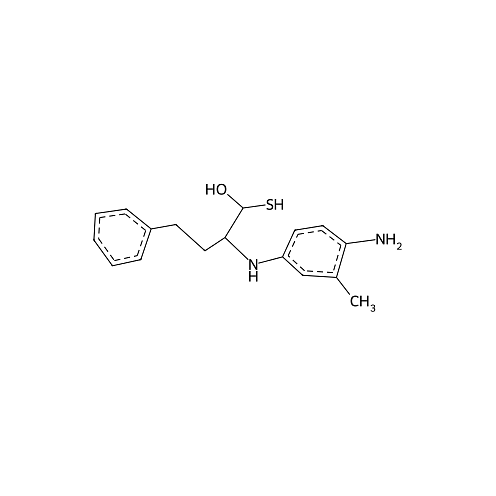 Cc1cc(NC(CCc2ccccc2)C(O)S)ccc1N